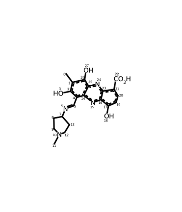 Cc1c(O)c(C=NC2CCN(C)CC2)c2nc3c(O)ccc(C(=O)O)c3nc2c1O